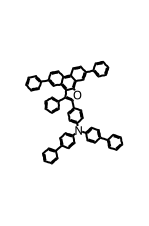 c1ccc(-c2ccc(N(c3ccc(-c4ccccc4)cc3)c3ccc(-c4oc5c6cc(-c7ccccc7)ccc6c6ccc(-c7ccccc7)cc6c5c4-c4ccccc4)cc3)cc2)cc1